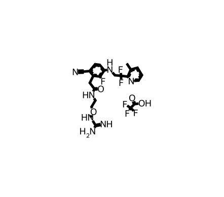 Cc1cccnc1C(F)(F)CNc1ccc(C#N)c(CC(=O)NCCONC(=N)N)c1F.O=C(O)C(F)(F)F